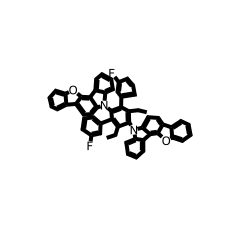 CCc1c(-c2cccc(F)c2)c(-n2c3ccccc3c3c4oc5ccccc5c4ccc32)c(-c2cccc(F)c2)c(CC)c1-n1c2ccccc2c2c3oc4ccccc4c3ccc21